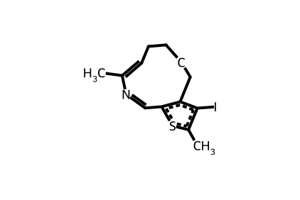 CC1=C\CCCCc2c(sc(C)c2I)/C=N\1